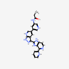 CCC(=O)Nc1cncc(-c2cnc3[nH]nc(-c4nc5c(-c6ccccn6)nccc5[nH]4)c3c2)c1